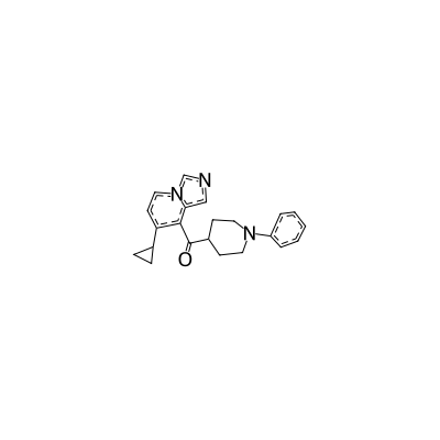 O=C(c1c(C2CC2)ccn2cncc12)C1CCN(c2ccccc2)CC1